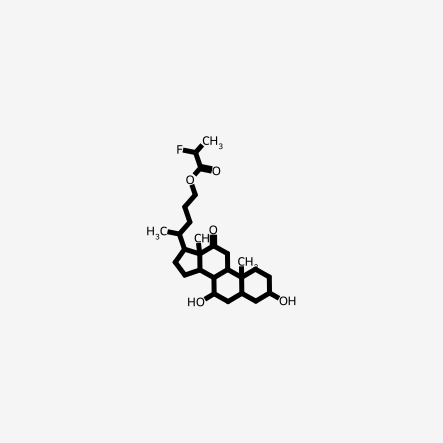 CC(F)C(=O)OCCCC(C)C1CCC2C3C(O)CC4CC(O)CCC4(C)C3CC(=O)C12C